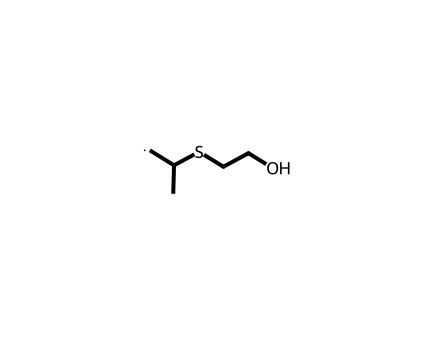 [CH2]C(C)SCCO